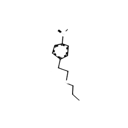 CCCNC[C@H](C)c1ccc([N+](=O)[O-])cc1